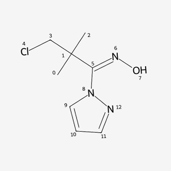 CC(C)(CCl)/C(=N/O)n1cccn1